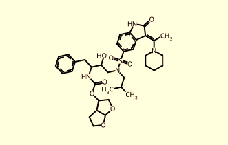 CC(=C1C(=O)Nc2ccc(S(=O)(=O)N(CC(C)C)CC(O)C(Cc3ccccc3)NC(=O)OC3COC4OCCC34)cc21)N1CCCCC1